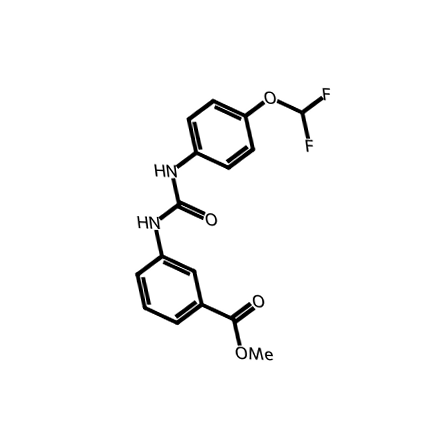 COC(=O)c1cccc(NC(=O)Nc2ccc(OC(F)F)cc2)c1